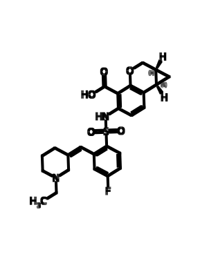 CCN1CCCC(=Cc2cc(F)ccc2S(=O)(=O)Nc2ccc3c(c2C(=O)O)OC[C@@H]2C[C@H]32)C1